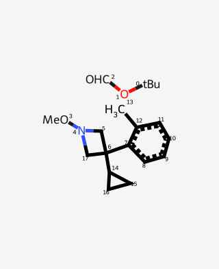 CC(C)(C)OC=O.CON1CC(c2ccccc2C)(C2CC2)C1